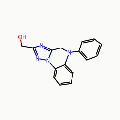 OCc1nc2n(n1)-c1ccccc1N(c1ccccc1)C2